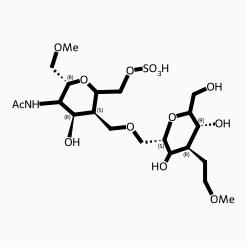 COCC[C@H]1C(O)[C@H](COC[C@@H]2C(COS(=O)(=O)O)O[C@@H](COC)C(NC(C)=O)[C@@H]2O)OC(CO)[C@@H]1O